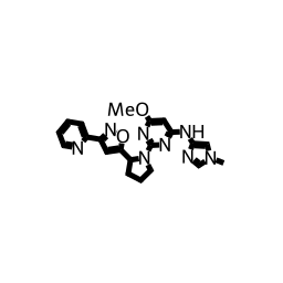 COc1cc(Nc2cn(C)cn2)nc(N2CCCC2c2cc(-c3ccccn3)no2)n1